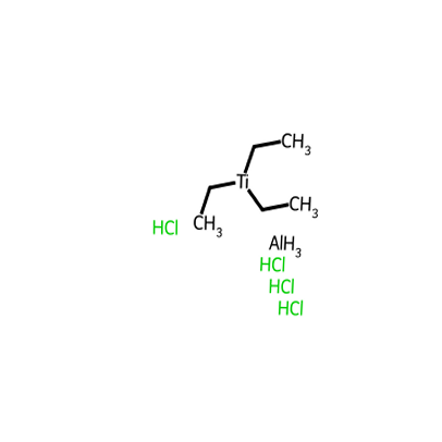 C[CH2][Ti]([CH2]C)[CH2]C.Cl.Cl.Cl.Cl.[AlH3]